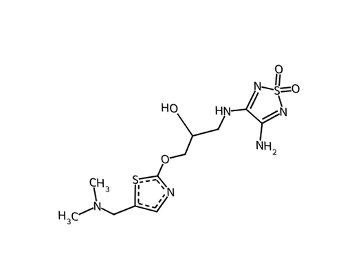 CN(C)Cc1cnc(OCC(O)CNC2=NS(=O)(=O)N=C2N)s1